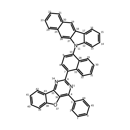 c1ccc(-c2nc(-c3ccc(-n4c5ccccc5c5cc6ccccc6cc54)c4ccccc34)nc3c2oc2ccccc23)cc1